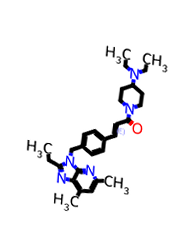 CCc1nc2c(C)cc(C)nc2n1Cc1ccc(/C=C/C(=O)N2CCC(N(CC)CC)CC2)cc1